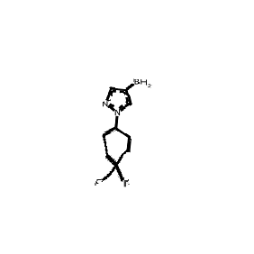 Bc1cnn(C2CCC(F)(F)CC2)c1